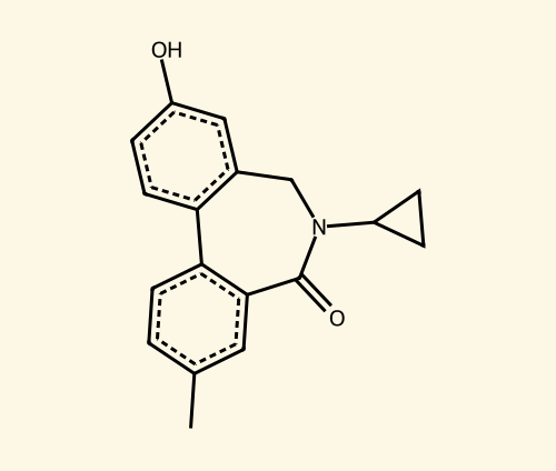 Cc1ccc2c(c1)C(=O)N(C1CC1)Cc1cc(O)ccc1-2